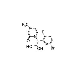 O=c1cc(C(F)(F)F)ccn1C(c1cc(Br)ccc1F)C(O)O